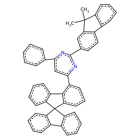 CC1(C)c2ccccc2-c2ccc(-c3nc(-c4ccccc4)cc(-c4cccc5c4-c4ccccc4C54c5ccccc5-c5ccccc54)n3)cc21